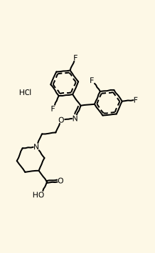 Cl.O=C(O)C1CCCN(CCON=C(c2ccc(F)cc2F)c2cc(F)ccc2F)C1